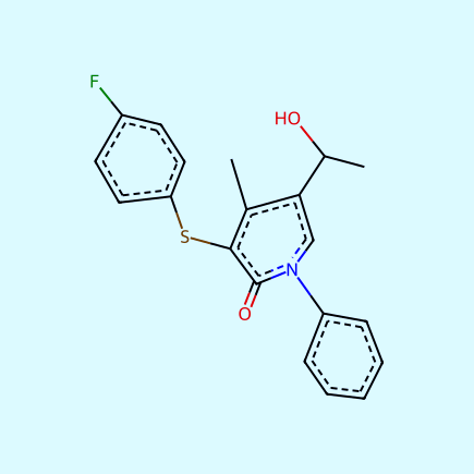 Cc1c(C(C)O)cn(-c2ccccc2)c(=O)c1Sc1ccc(F)cc1